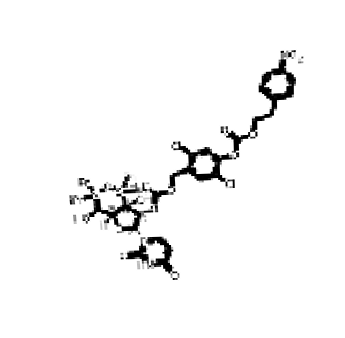 CC(OCc1cc(Cl)c(OC(=O)OCCc2ccc([N+](=O)[O-])cc2)cc1Cl)O[C@H]1[C@H](n2ccc(=O)[nH]c2=O)O[C@@H]2C(O)[Si](C(C)C)(C(C)C)O[Si](C(C)C)(C(C)C)[C@@]21O